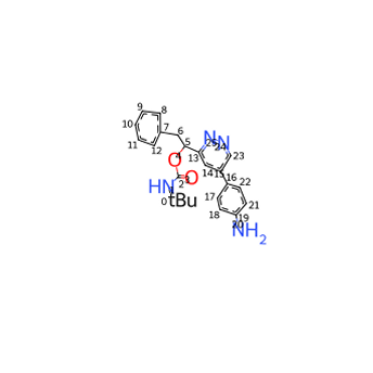 CC(C)(C)NC(=O)OC(Cc1ccccc1)c1cc(-c2ccc(N)cc2)cnn1